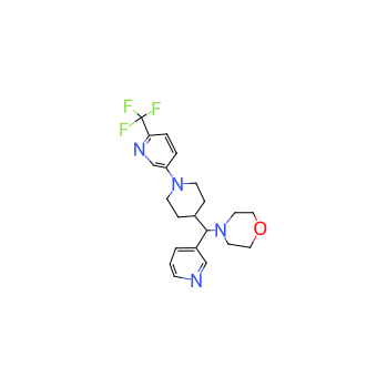 FC(F)(F)c1ccc(N2CCC(C(c3cccnc3)N3CCOCC3)CC2)cn1